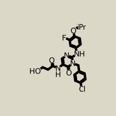 CC(C)Oc1ccc(Nc2ncc(NC(=O)CCO)c(=O)n2Cc2ccc(Cl)cc2)cc1F